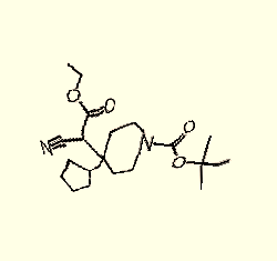 CCOC(=O)C(C#N)C1(C2CCCC2)CCN(C(=O)OC(C)(C)C)CC1